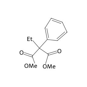 CCC(C(=O)OC)(C(=O)OC)c1ccccc1